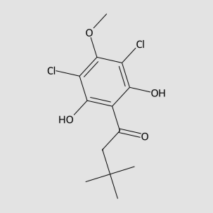 COc1c(Cl)c(O)c(C(=O)CC(C)(C)C)c(O)c1Cl